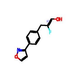 O/C=C(\F)Cc1ccc(-c2ccon2)cc1